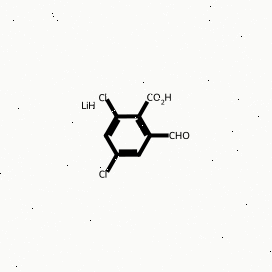 O=Cc1cc(Cl)cc(Cl)c1C(=O)O.[LiH]